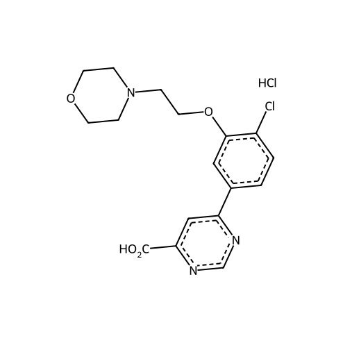 Cl.O=C(O)c1cc(-c2ccc(Cl)c(OCCN3CCOCC3)c2)ncn1